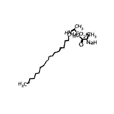 CC(=N)C(=O)O.CCC(=O)O.CCCCCCCCCCCCCCCCCCC.[NaH]